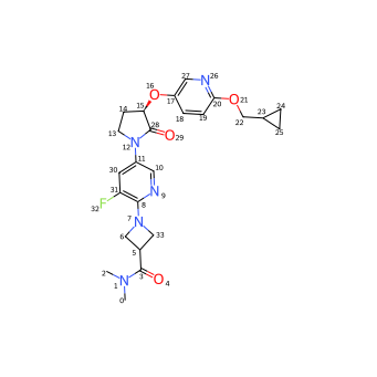 CN(C)C(=O)C1CN(c2ncc(N3CC[C@@H](Oc4ccc(OCC5CC5)nc4)C3=O)cc2F)C1